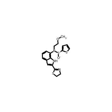 COCCN(c1cccc2cc(C3=NCCS3)[nH]c12)[S+]([O-])c1cccs1